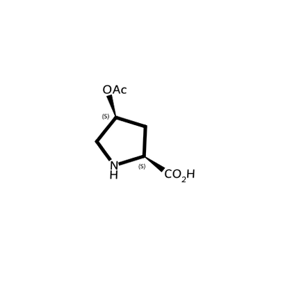 CC(=O)O[C@@H]1CN[C@H](C(=O)O)C1